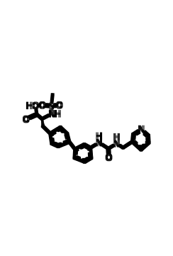 CS(=O)(=O)N[C@@H](Cc1ccc(-c2cccc(NC(=O)NCc3cccnc3)c2)cc1)C(=O)O